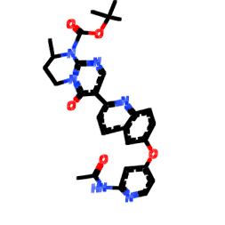 CC(=O)Nc1cc(Oc2ccc3nc(-c4cnc5n(c4=O)CCC(C)N5C(=O)OC(C)(C)C)ccc3c2)ccn1